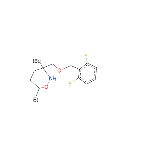 CCC1CCC(COCc2c(F)cccc2F)(C(C)(C)C)NO1